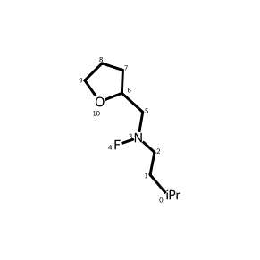 CC(C)CCN(F)CC1CCCO1